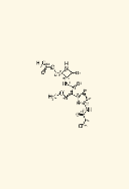 CON=C(C(=O)N[C@H]1C(=O)N[C@H]1COC(C)=O)c1csc(NC(=O)CCl)n1